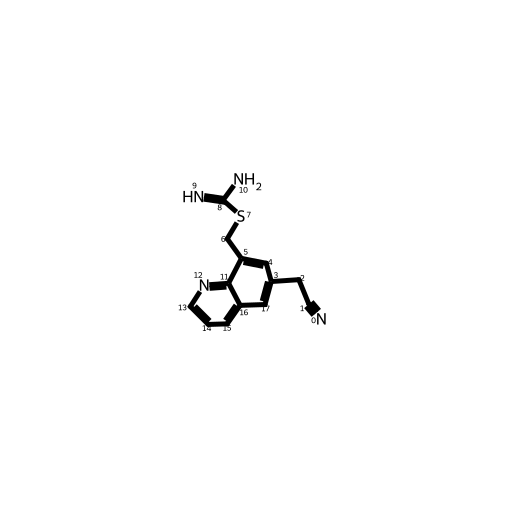 N#CCc1cc(CSC(=N)N)c2ncccc2c1